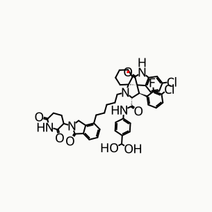 O=C1CCC(N2Cc3c(CCCCCN4[C@@H](C(=O)Nc5ccc(C(O)O)cc5)[C@H](c5cccc(Cl)c5F)[C@]5(C(=O)Nc6cc(Cl)ccc65)C45CCCCC5)cccc3C2=O)C(=O)N1